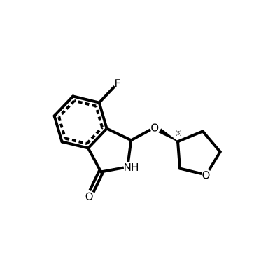 O=C1NC(O[C@H]2CCOC2)c2c(F)cccc21